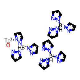 [O]=[Tc+3].c1cnn([BH-](n2cccn2)n2cccn2)c1.c1cnn([BH-](n2cccn2)n2cccn2)c1.c1cnn([BH-](n2cccn2)n2cccn2)c1